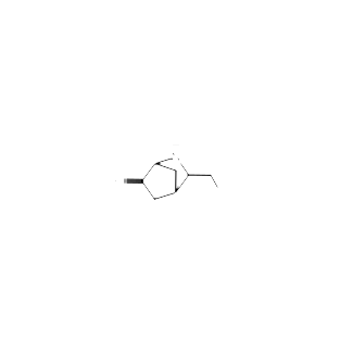 O=C1CC2CC1NC2CF